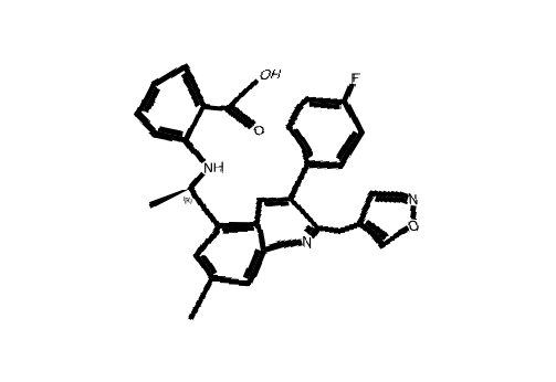 Cc1cc([C@@H](C)Nc2ccccc2C(=O)O)c2cc(-c3ccc(F)cc3)c(-c3cnoc3)nc2c1